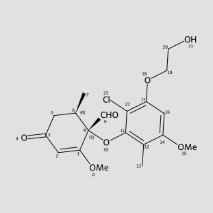 COC1=CC(=O)C[C@@H](C)[C@]1(C=O)Oc1c(C)c(OC)cc(OCCO)c1Cl